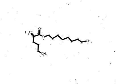 C=C(CCCC)C(=O)OCCCCCCCCC